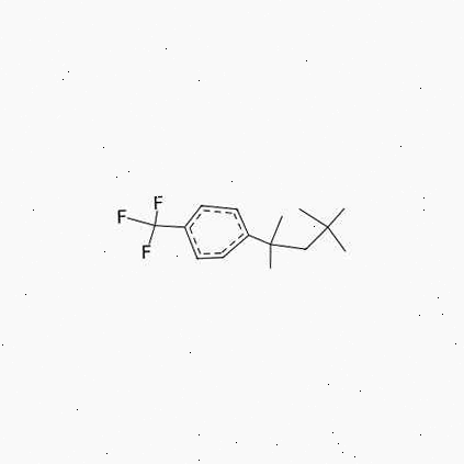 CC(C)(C)CC(C)(C)c1ccc(C(F)(F)F)cc1